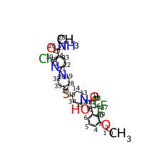 CCOc1cccc([C@@](O)(C(=O)N2CCC(SC3CCN(c4ccc(C(=O)NC)c(Cl)n4)CC3)CC2)C(F)(F)F)c1